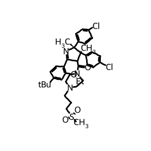 CCOc1cc(C(C)(C)C)ccc1C1=N[C@](C)(c2ccc(Cl)cc2)[C@](C)(c2ccc(Cl)cc2)C1C(=O)N1CCN(CCCS(C)(=O)=O)CC1